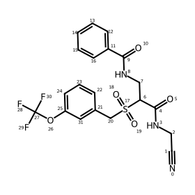 N#CCNC(=O)C(CNC(=O)c1ccccc1)S(=O)(=O)Cc1cccc(OC(F)(F)F)c1